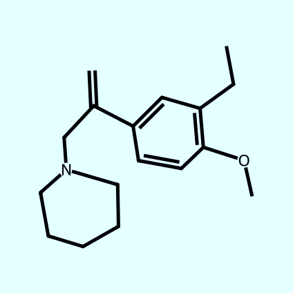 C=C(CN1CCCCC1)c1ccc(OC)c(CC)c1